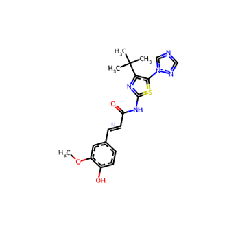 COc1cc(/C=C/C(=O)Nc2nc(C(C)(C)C)c(-n3cncn3)s2)ccc1O